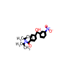 CC(C)N(C(=O)c1ccc(C(O)c2cccc([N+](=O)[O-])c2)cc1)C(C)C